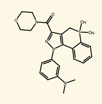 CN(C)c1cccc(-n2nc(C(=O)N3CCOCC3)c3c2-c2ccccc2S(O)(O)C3)c1